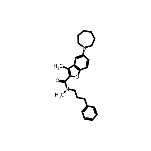 Cc1c(C(=O)N(C)CCCc2ccccc2)oc2ccc(N3CCCCCC3)cc12